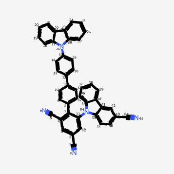 N#Cc1cc(C#N)c(-c2ccc(-c3ccc(-n4c5ccccc5c5ccccc54)cc3)cc2)c(-n2c3ccccc3c3cc(C#N)ccc32)c1